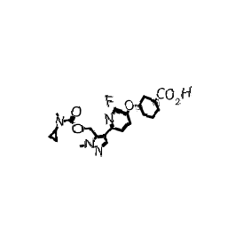 CN(C(=O)OCc1c(-c2ccc(O[C@H]3CCC[C@H](C(=O)O)C3)c(F)n2)cnn1C)C1CC1